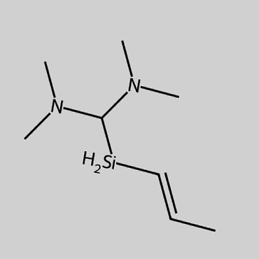 CC=C[SiH2]C(N(C)C)N(C)C